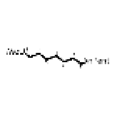 CCCCCCCCCCCCOC